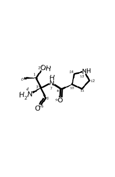 C[C@@H](O)[C@@](N)(C=O)NC(=O)[C@@H]1CCNC1